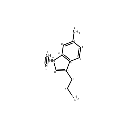 C#N.Cc1ccc2c(CCN)c[nH]c2c1